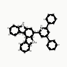 c1ccc(-c2cc(-c3ccccc3)nc(-c3cc4oc5ccccc5c4c4c3oc3ccccc34)c2)cc1